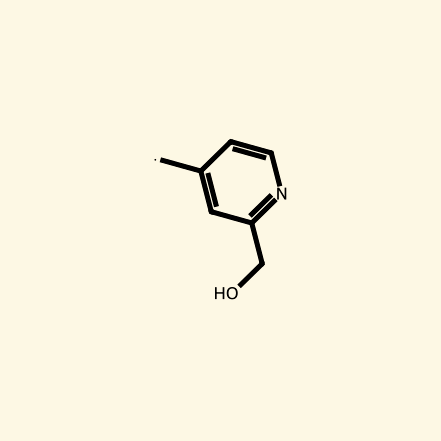 [CH2]c1ccnc(CO)c1